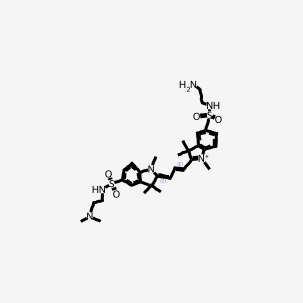 CN(C)CCNS(=O)(=O)c1ccc2c(c1)C(C)(C)/C(=C/C=C/C1=[N+](C)c3ccc(S(=O)(=O)NCCN)cc3C1(C)C)N2C